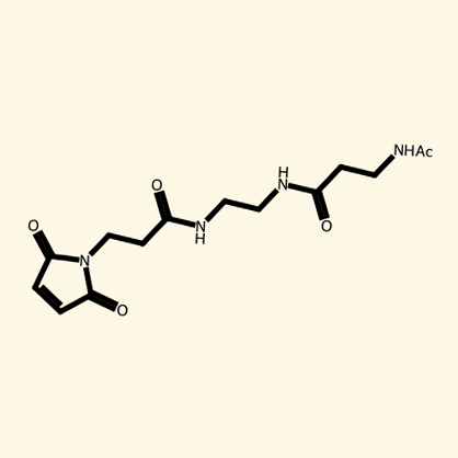 CC(=O)NCCC(=O)NCCNC(=O)CCN1C(=O)C=CC1=O